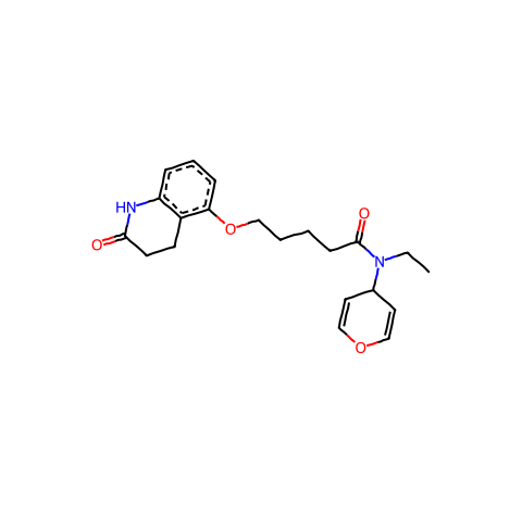 CCN(C(=O)CCCCOc1cccc2c1CCC(=O)N2)C1C=COC=C1